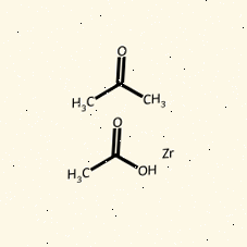 CC(=O)O.CC(C)=O.[Zr]